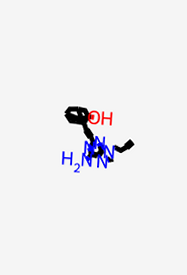 C#CCCn1cnc2c(N)nc(C#CC3C4CC5CC(C4)CC3(O)C5)nc21